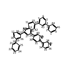 c1ccc(-c2cccc(-c3ccc4nc(-c5cccc(-c6ccccc6)c5)cc(-c5ccc(-c6cccnc6)nc5)c4c3)c2)cc1